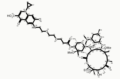 CC[C@H]1OC(=O)[C@H](C)[C@@H](O[C@H]2C[C@@](C)(OC)[C@@H](OC(=O)CCOCCOCCNc3cc4c(=O)c(C(=O)O)cn(C5CC5)c4cc3Cl)[C@H](C)O2)[C@H](C)[C@@H](O[C@@H]2O[C@H](C)C[C@H](N(C)C)[C@H]2O)[C@](C)(OC)C[C@@H](C)C(=O)[C@H](C)[C@@H](O)[C@]1(C)O